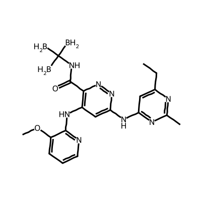 BC(B)(B)NC(=O)c1nnc(Nc2cc(CC)nc(C)n2)cc1Nc1ncccc1OC